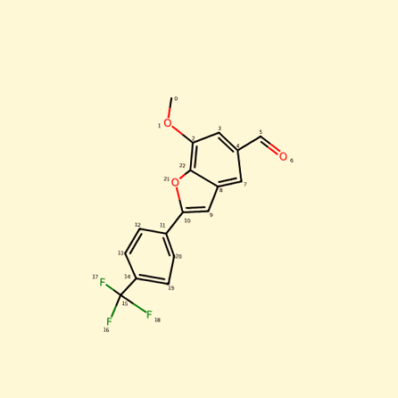 COc1cc(C=O)cc2cc(-c3ccc(C(F)(F)F)cc3)oc12